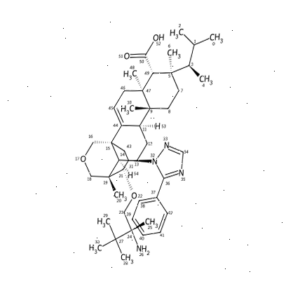 CC(C)[C@@H](C)[C@@]1(C)CC[C@]2(C)[C@H]3CC[C@@H]4[C@@]5(COC[C@@]4(C)[C@@H](OC[C@](C)(N)C(C)(C)C)[C@H](n4ncnc4-c4ccccc4)C5)C3=CC[C@@]2(C)[C@@H]1C(=O)O